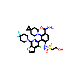 NC(=O)c1ccc(NS(=O)(=O)CCO)c(-c2nc(N3CCC(F)(F)CC3)c3occc3c2Cl)c1N1CCC2(CC1)CC2